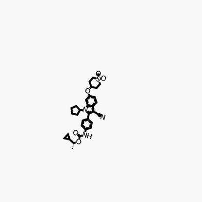 C[C@@H](OC(=O)Nc1ccc(-c2c(C#N)c3ccc(OC4CCS(=O)(=O)CC4)cc3n2C2CCCC2)cc1)C1CC1